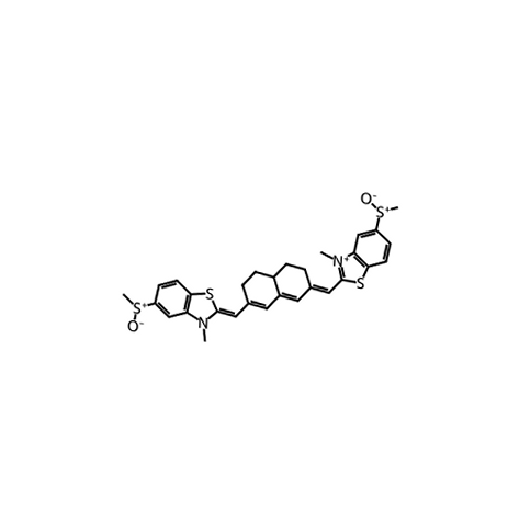 CN1/C(=C/C2=CC3=C/C(=C/c4sc5ccc([S+](C)[O-])cc5[n+]4C)CCC3CC2)Sc2ccc([S+](C)[O-])cc21